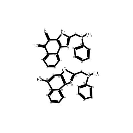 CN(Cc1nc2c([nH]1)C(=O)C(=O)c1ccccc1-2)c1ccccc1.CN(Cc1nc2c(cc(O)c3ccccc32)[nH]1)c1ccccc1